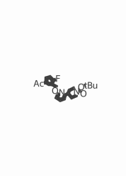 CC(=O)c1ccc(F)c(COc2cccc(C3CCN(C(=O)OC(C)(C)C)CC3)n2)c1